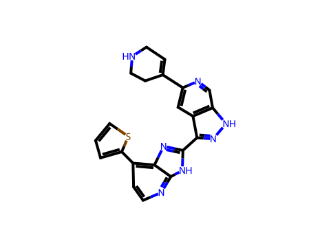 C1=C(c2cc3c(-c4nc5c(-c6cccs6)ccnc5[nH]4)n[nH]c3cn2)CCNC1